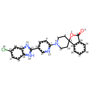 O=C1OC2(CCN(c3ccc(-c4nc5cc(Cl)ccc5[nH]4)cn3)CC2)c2ccccc21